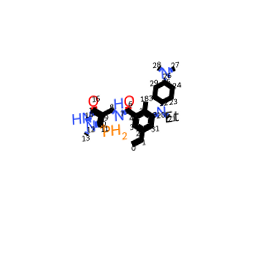 C=Cc1cc(C(=O)NCc2c(P)n(C)[nH]c2=O)c(C)c(N(CC)[C@H]2CC[C@H](N(C)C)CC2)c1